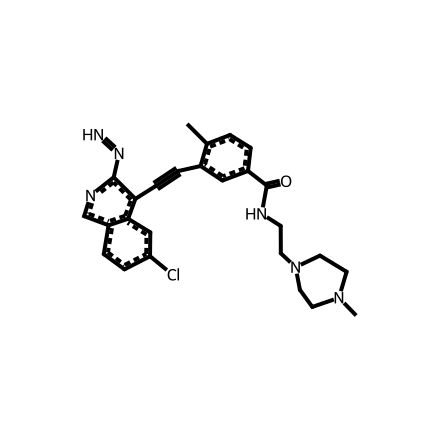 Cc1ccc(C(=O)NCCN2CCN(C)CC2)cc1C#Cc1c(N=N)ncc2ccc(Cl)cc12